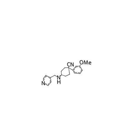 COc1cccc([C@]2(C#N)CC[C@@H](NCc3ccncc3)CC2)c1